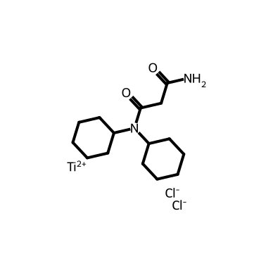 NC(=O)CC(=O)N(C1CCCCC1)C1CCCCC1.[Cl-].[Cl-].[Ti+2]